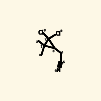 CC1(C)C(CC#N)C1(Cl)Cl